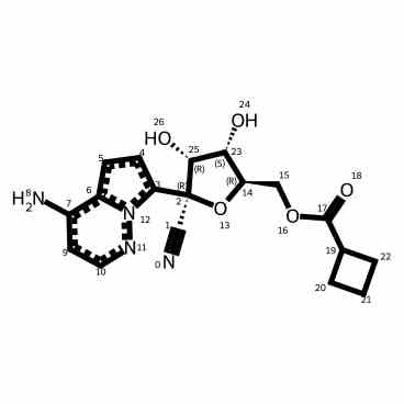 N#C[C@@]1(c2ccc3c(N)ccnn23)O[C@H](COC(=O)C2CCC2)[C@@H](O)[C@H]1O